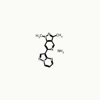 Cc1nn(C)c2cc(-c3cnn4cccnc34)ncc12.N